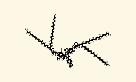 CCCCCCCCCCCCCCCCCCC(CCCCCCCCCCCCCCCC)COC(=O)COc1ccc(-c2nc(-c3ccc(OC)cc3)nc(-c3ccc(OCC(=O)OCC(CCCCCCCCCCCCCCCC)CCCCCCCCCCCCCCCCCC)cc3O)n2)c(O)c1